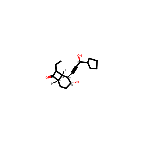 CCC1C(=O)[C@H]2CC[C@@H](O)[C@H](C#C[C@@H](O)C3CCCC3)[C@@H]12